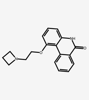 O=c1[nH]c2cccc(OCCN3CCC3)c2c2ccccc12